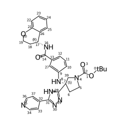 CC(C)(C)OC(=O)N1CC[C@@](Nc2cccc(C(=O)N[C@@H]3CCOc4ccccc43)c2)(c2nnc(-c3ccncc3)[nH]2)C1